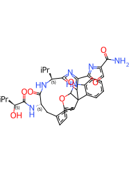 CC(C)[C@H](O)C(=O)N[C@H]1Cc2ccc3c(c2)C2(c4ccccc4NC2O3)c2oc(nc2-c2nc(C(N)=O)co2)[C@H](C(C)C)NC1=O